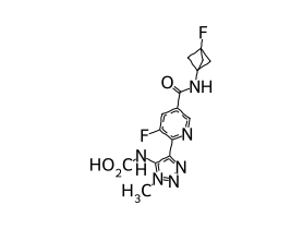 Cn1nnc(-c2ncc(C(=O)NC34CC(F)(C3)C4)cc2F)c1NC(=O)O